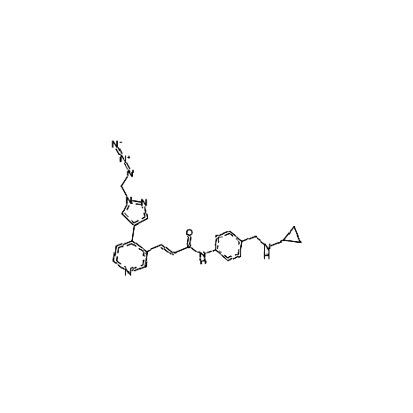 [N-]=[N+]=NCn1cc(-c2ccncc2/C=C/C(=O)Nc2ccc(CNC3CC3)cc2)cn1